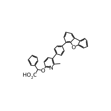 Cc1nc(OC(C(=O)O)c2ccccc2)ccc1-c1ccc(-c2cccc3c2oc2ccccc23)cc1